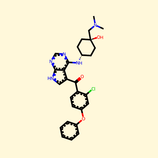 CN(C)C[C@]1(O)CC[C@H](Nc2ncnc3[nH]cc(C(=O)c4ccc(Oc5ccccc5)cc4Cl)c23)CC1